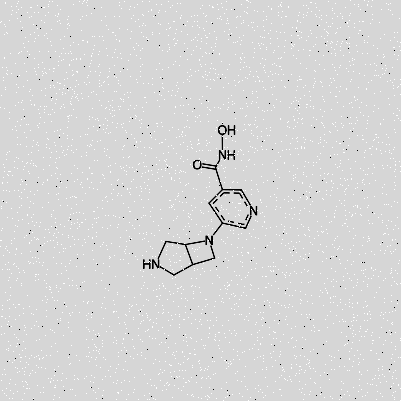 O=C(NO)c1cncc(N2CC3CNCC32)c1